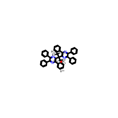 CCC(C)(C=O)C(c1nc(-c2ccccc2)c(-c2ccccc2)nc1-c1ccccc1)(c1nc(-c2ccccc2)c(-c2ccccc2)nc1-c1ccccc1)C(C)(C=O)CC.[Ir+3]